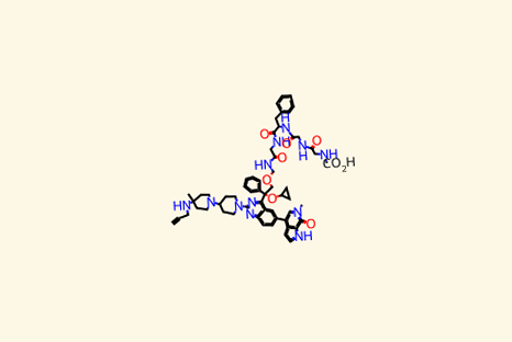 C#CCNC1(C)CCN(C2CCN(c3nc(C(COCNC(=O)CNC(=O)C(Cc4ccccc4)NC(=O)CNC(=O)CNC(=O)O)(OC4CC4)c4ccccc4)c4cc(-c5cn(C)c(=O)c6[nH]ccc56)ccc4n3)CC2)CC1